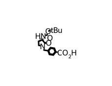 CC(C)(C)OC(=O)N[C@@H]1CCN(Cc2ccc(C(=O)O)cc2)C1=O